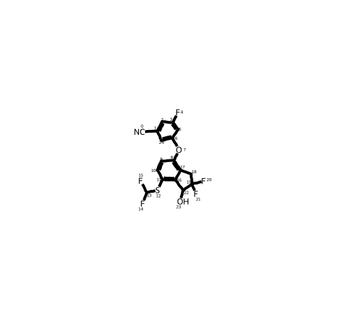 N#Cc1cc(F)cc(Oc2ccc(SC(F)F)c3c2CC(F)(F)C3O)c1